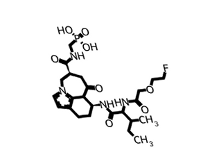 CCC(C)C(NC(=O)COCCF)C(=O)N[C@H]1CCc2ccn3c2C1C(=O)C[C@H](C(=O)NCP(=O)(O)O)C3